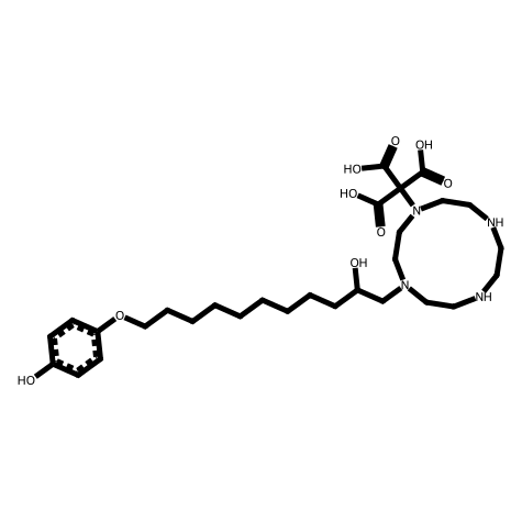 O=C(O)C(C(=O)O)(C(=O)O)N1CCNCCNCCN(CC(O)CCCCCCCCCOc2ccc(O)cc2)CC1